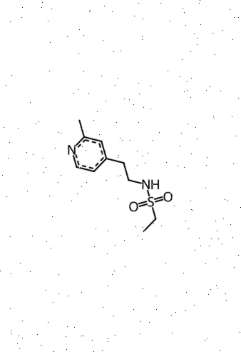 CCS(=O)(=O)NCCc1ccnc(C)c1